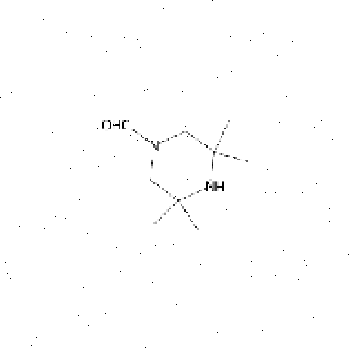 CC1(C)CN(C=O)CC(C)(C)N1